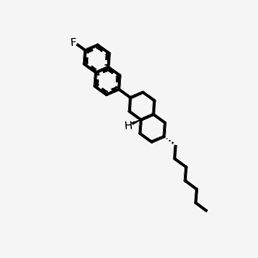 CCCCCCC[C@@H]1CC[C@@H]2CC(c3ccc4cc(F)ccc4c3)CCC2C1